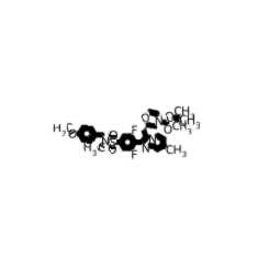 COc1ccc(CN(C)S(=O)(=O)c2cc(F)c(-c3nc4cc(C)ccn4c3C[C@H]3CN(C(=O)OC(C)(C)C)CCO3)c(F)c2)cc1